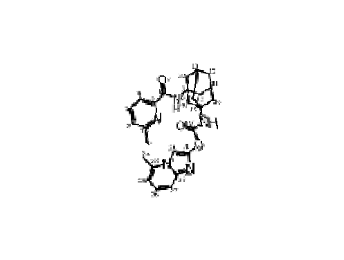 Cc1cccc(C(=O)NC23CC4CC(CC(NC(=O)Oc5cn6c(C)cccc6n5)(C4)C2)C3)n1